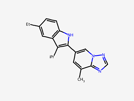 CCc1ccc2[nH]c(-c3cc(C)c4ncnn4c3)c(C(C)C)c2c1